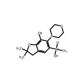 CC1(C)Cc2cc([N+](C)([O-])O)c(N3CCOCC3)c(C#N)c2O1